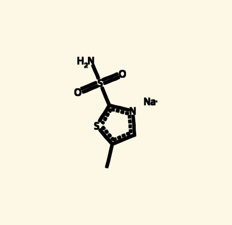 Cc1cnc(S(N)(=O)=O)s1.[Na]